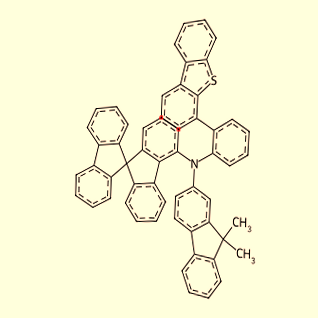 CC1(C)c2ccccc2-c2ccc(N(c3ccccc3-c3cccc4c3sc3ccccc34)c3cccc4c3-c3ccccc3C43c4ccccc4-c4ccccc43)cc21